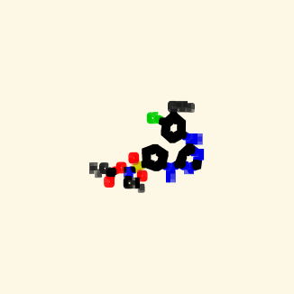 COc1cc(Nc2cc(Nc3cccc(S(=O)(=O)N(C)OC(=O)C(F)(F)F)c3)ncn2)ccc1Cl